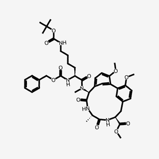 COC(=O)[C@@H]1Cc2ccc(OC)c(c2)-c2cc(ccc2OC)[C@H](N(C)C(=O)[C@H](CCCCNC(=O)OC(C)(C)C)NC(=O)OCc2ccccc2)C(=O)N[C@@H](C)C(=O)N1